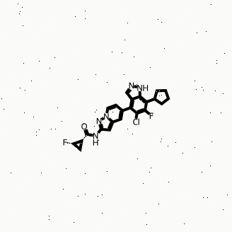 O=C(Nc1cc2cc(-c3c(Cl)c(F)c(C4CCCC4)c4[nH]ncc34)ccn2n1)[C@@H]1C[C@@H]1F